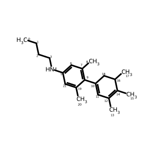 CCCCNc1cc(C)c(C2=CC(C)=C(C)C(C)C2)c(C)c1